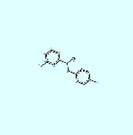 OC(Cc1ccc(Cl)cc1)c1cccc(Cl)c1